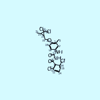 Cc1cc(NC(=O)NC(=O)c2c(Cl)cccc2Cl)ccc1OCC1C(C)C1(Cl)Cl